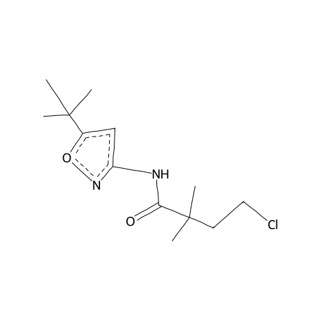 CC(C)(CCCl)C(=O)Nc1cc(C(C)(C)C)on1